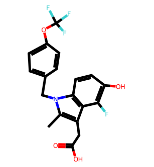 Cc1c(CC(=O)O)c2c(F)c(O)ccc2n1Cc1ccc(OC(F)(F)F)cc1